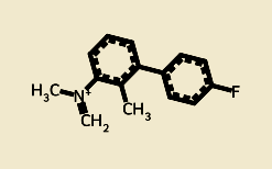 C=[N+](C)c1cccc(-c2ccc(F)cc2)c1C